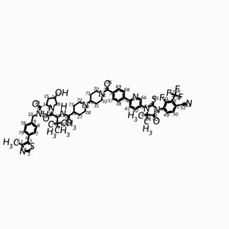 Cc1ncsc1-c1ccc(CNC(=O)[C@@H]2C[C@@H](O)CN2C(=O)[C@@H](NC(=O)C2CCN(C3CCN(C(=O)c4ccc(-c5ccc(N6C(=S)N(c7ccc(C#N)c(C(F)(F)F)c7F)C(=O)C6(C)C)cn5)cc4)CC3)CC2)C(C)(C)C)cc1